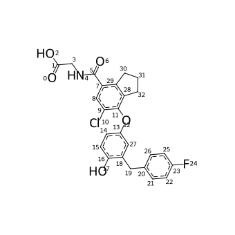 O=C(O)CNC(=O)c1cc(Cl)c(Oc2ccc(O)c(Cc3ccc(F)cc3)c2)c2c1CCC2